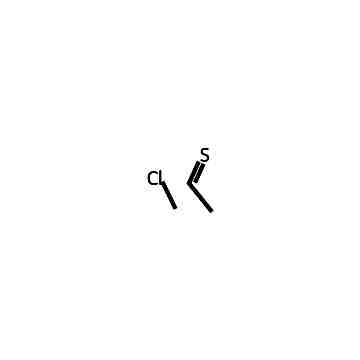 CC=S.CCl